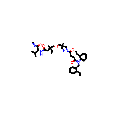 C=Cc1ccccc1CN(C(=O)CCC(=O)NCC(C)(C)COCC(C)(CC)CC(=O)N[C@H](C(=O)N=C)C(C)C)c1ccccc1CC